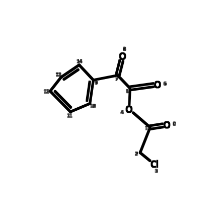 O=C(CCl)OC(=O)C(=O)c1ccccc1